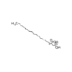 CCCCC/C=C/C/C=C/C/C=C/C/C=C/CCCCSC(CC(=O)O)C(=O)O